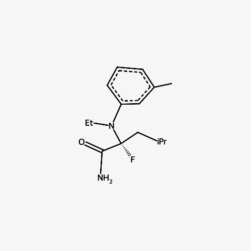 CCN(c1cccc(C)c1)[C@@](F)(CC(C)C)C(N)=O